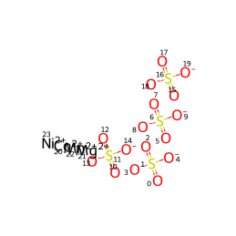 O=S(=O)([O-])[O-].O=S(=O)([O-])[O-].O=S(=O)([O-])[O-].O=S(=O)([O-])[O-].[Co+2].[Mg+2].[Mn+2].[Ni+2]